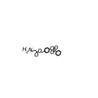 NCCC(=O)OCc1ccc(OS(=O)(=O)c2ccccc2)cc1